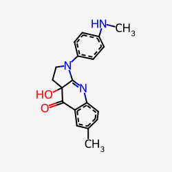 CNc1ccc(N2CCC3(O)C(=O)c4cc(C)ccc4N=C23)cc1